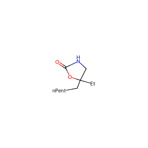 CCCCCCC1(CC)CNC(=O)O1